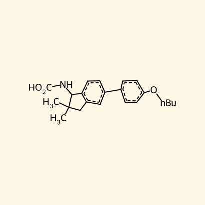 CCCCOc1ccc(-c2ccc3c(c2)CC(C)(C)C3NC(=O)O)cc1